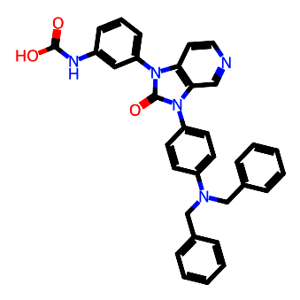 O=C(O)Nc1cccc(-n2c(=O)n(-c3ccc(N(Cc4ccccc4)Cc4ccccc4)cc3)c3cnccc32)c1